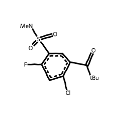 CNS(=O)(=O)c1cc(C(=O)C(C)(C)C)c(Cl)cc1F